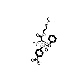 COCCCOC(=O)[C@H](C)NP(=O)(Oc1ccccc1)Oc1ccc([N+](=O)[O-])cc1